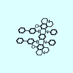 c1ccc(-c2ccc3c(c2)Oc2c4c5c(c6c2B3c2cc3c(cc2N6c2ccccc2)N(c2ccccc2)c2c6c7c(c8c2B3c2ccc(-c3ccccc3)cc2O8)CCCN7CCC6)CCCN5CCC4)cc1